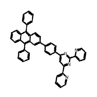 c1ccc(-c2c3ccccc3c(-c3ccccc3)c3cc(-c4ccc(-c5cc(-c6ccccn6)nc(-c6ccccn6)n5)cc4)ccc23)cc1